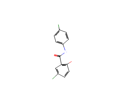 O=C(Nc1ccc(F)cc1)c1cc(Cl)ccc1O